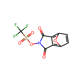 O=C1c2c(c3ccc2o3)C(=O)N1OS(=O)(=O)C(F)(F)F